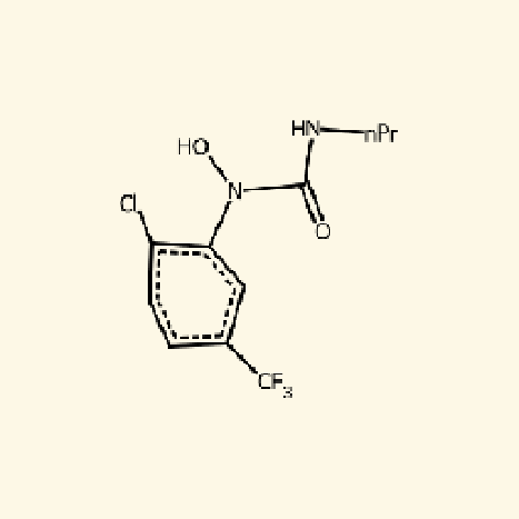 CCCNC(=O)N(O)c1cc(C(F)(F)F)ccc1Cl